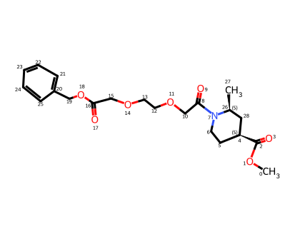 COC(=O)[C@H]1CCN(C(=O)COCCOCC(=O)OCc2ccccc2)[C@@H](C)C1